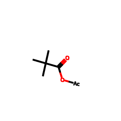 [CH2]C(=O)OC(=O)C(C)(C)C